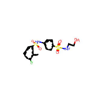 Cc1c(Cl)cccc1S(=O)(=O)Nc1ccc(S(=O)(=O)NCCO)cc1